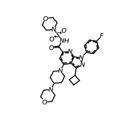 O=C(NS(=O)(=O)N1CCOCC1)c1cc(N2CCC(N3CCOCC3)CC2)c2c(C3CCC3)nn(-c3ccc(F)cc3)c2n1